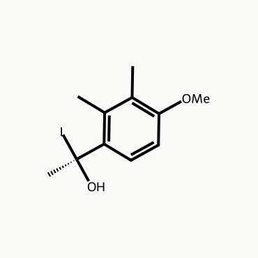 COc1ccc([C@@](C)(O)I)c(C)c1C